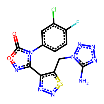 Nc1nnnn1Cc1snnc1-c1noc(=O)n1-c1ccc(F)c(Cl)c1